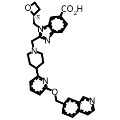 O=C(O)c1ccc2nc(CN3CCC(c4cccc(OCc5ccc6ccncc6c5)n4)CC3)n(C[C@@H]3CCO3)c2c1